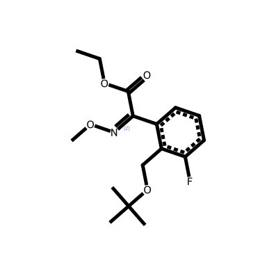 CCOC(=O)/C(=N\OC)c1cccc(F)c1COC(C)(C)C